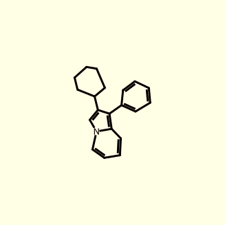 c1ccc(-c2c(C3CCCCC3)cn3ccccc23)cc1